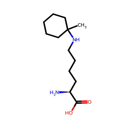 CC1(NCCCC[C@H](N)C(=O)O)CCCCC1